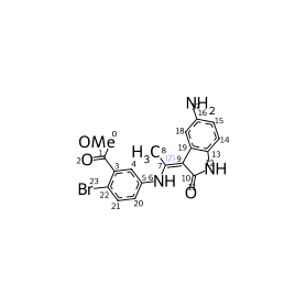 COC(=O)c1cc(N/C(C)=C2\C(=O)Nc3ccc(N)cc32)ccc1Br